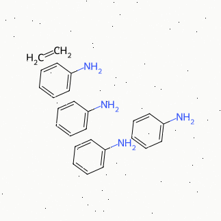 C=C.Nc1ccccc1.Nc1ccccc1.Nc1ccccc1.Nc1ccccc1